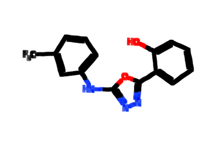 Oc1ccccc1-c1nnc(Nc2cccc(C(F)(F)F)c2)o1